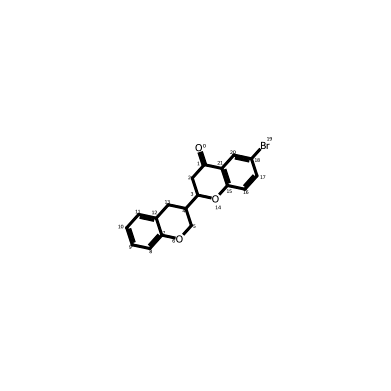 O=C1CC(C2COc3ccccc3C2)Oc2ccc(Br)cc21